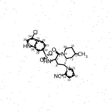 CC1CCN(C(=O)C(CCn2cccc2C#N)NS(=O)(=O)c2ccc3c(Cl)c[nH]c3c2)CC1